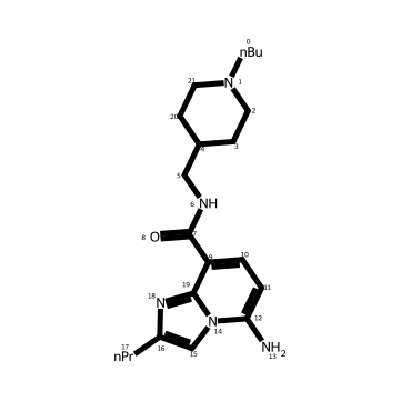 CCCCN1CCC(CNC(=O)c2ccc(N)n3cc(CCC)nc23)CC1